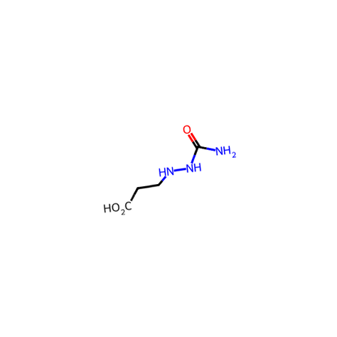 NC(=O)NNCCC(=O)O